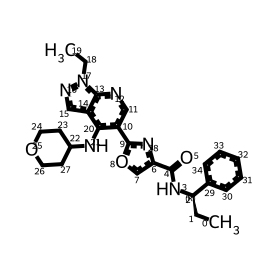 CC[C@@H](NC(=O)c1coc(-c2cnc3c(cnn3CC)c2NC2CCOCC2)n1)c1ccccc1